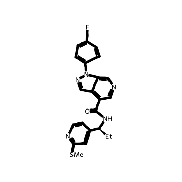 CC[C@H](NC(=O)c1cncc2c1cnn2-c1ccc(F)cc1)c1ccnc(SC)c1